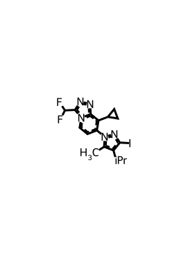 Cc1c(C(C)C)c(I)nn1-c1ccn2c(C(F)F)nnc2c1C1CC1